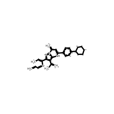 C=C/C=N\C(=C/C)c1nn2c(c1C(=C)C)NC(c1ccc(C3CCCCC3)cc1)=CC2=C